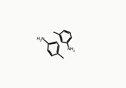 Cc1ccc(N)cc1.Cc1cccc(N)c1